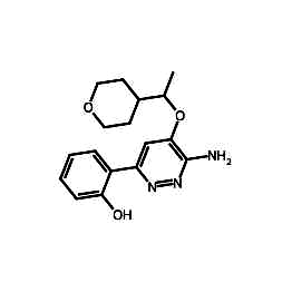 CC(Oc1cc(-c2ccccc2O)nnc1N)C1CCOCC1